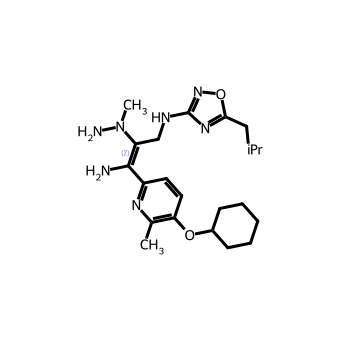 Cc1nc(/C(N)=C(\CNc2noc(CC(C)C)n2)N(C)N)ccc1OC1CCCCC1